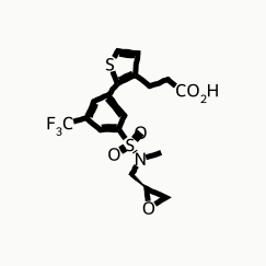 CN(C[C@H]1CO1)S(=O)(=O)c1cc(-c2sccc2CCC(=O)O)cc(C(F)(F)F)c1